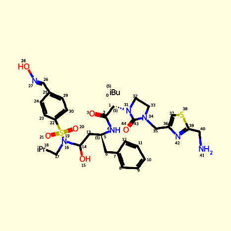 CC[C@H](C)[C@@H](C(=O)N[C@@H](Cc1ccccc1)CC(O)N(CC(C)C)S(=O)(=O)c1ccc(C=NO)cc1)N1CCN(Cc2csc(CN)n2)C1=O